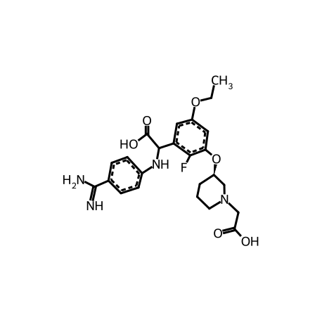 CCOc1cc(O[C@@H]2CCCN(CC(=O)O)C2)c(F)c(C(Nc2ccc(C(=N)N)cc2)C(=O)O)c1